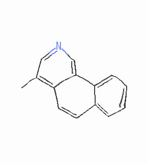 Cc1cncc2c1ccc1ccccc12